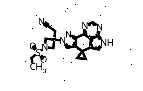 CCS(=O)(=O)N1CC(CC#N)(n2cc3c(n2)-c2ncnc4[nH]cc(c24)C32CC2)C1